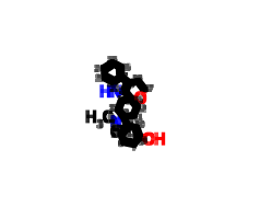 CN(C)C1(c2cccc(O)c2)CCC2(CC1)OCCc1c2[nH]c2ccccc12